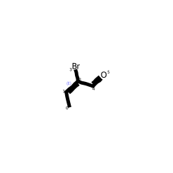 C/C=C(/Br)C=O